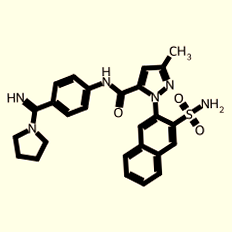 Cc1cc(C(=O)Nc2ccc(C(=N)N3CCCC3)cc2)n(-c2cc3ccccc3cc2S(N)(=O)=O)n1